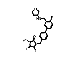 CC(C)N1C(=O)C(I)N(Cc2ccc(-c3ccc(F)c(CNC4CCOC4)c3)cc2)C1=O